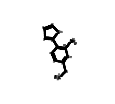 CCc1ccc(-c2cccs2)c(N)n1